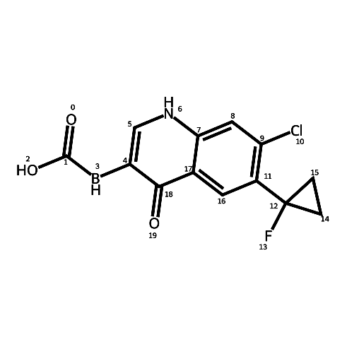 O=C(O)Bc1c[nH]c2cc(Cl)c(C3(F)CC3)cc2c1=O